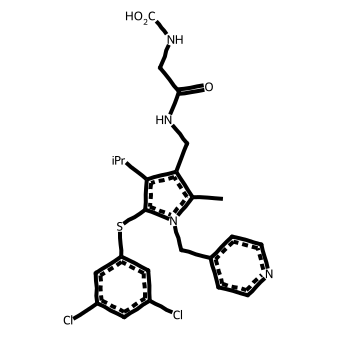 Cc1c(CNC(=O)CNC(=O)O)c(C(C)C)c(Sc2cc(Cl)cc(Cl)c2)n1Cc1ccncc1